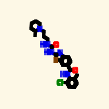 Cc1cccc(Cl)c1NC(=O)c1ccc2nc(NC(=O)NCCCN3CCCCC3C)sc2c1